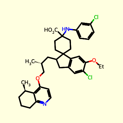 CCOc1cc2c(cc1Cl)CC(C[C@@H](C)COc1ccnc3c1[C@H](C)CCC3)C21CCC(Nc2cccc(Cl)c2)(C(=O)O)CC1